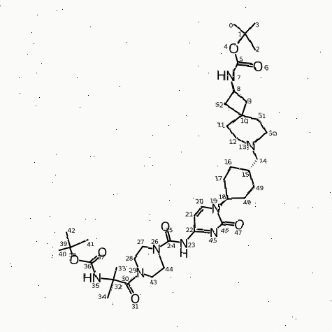 CC(C)(C)OC(=O)NC1CC2(CCN(C[C@H]3CC[C@H](n4ccc(NC(=O)N5CCN(C(=O)C(C)(C)NC(=O)OC(C)(C)C)CC5)nc4=O)CC3)CC2)C1